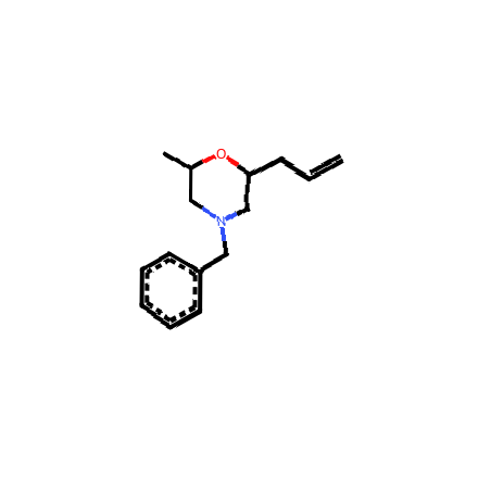 C=CCC1CN(Cc2ccccc2)CC(C)O1